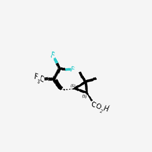 CC1(C)[C@@H](C=C(C(F)F)C(F)(F)F)[C@@H]1C(=O)O